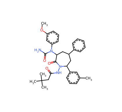 COc1cccc(N(C(N)=O)C2CC(c3ccccc3)CC(c3cccc(C)c3)N(NC(=O)CC(C)(C)C)C2=O)c1